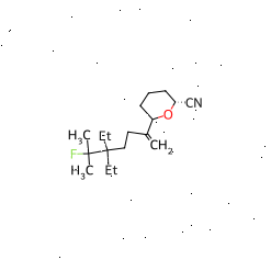 C=C(CCC(CC)(CC)C(C)(C)F)C1CCC[C@H](C#N)O1